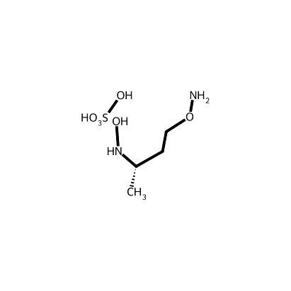 C[C@@H](CCON)NO.O=S(=O)(O)O